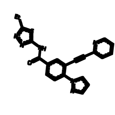 CCc1nnc(NC(=O)c2ccc(-n3cccn3)c(C#Cc3ccccn3)c2)s1